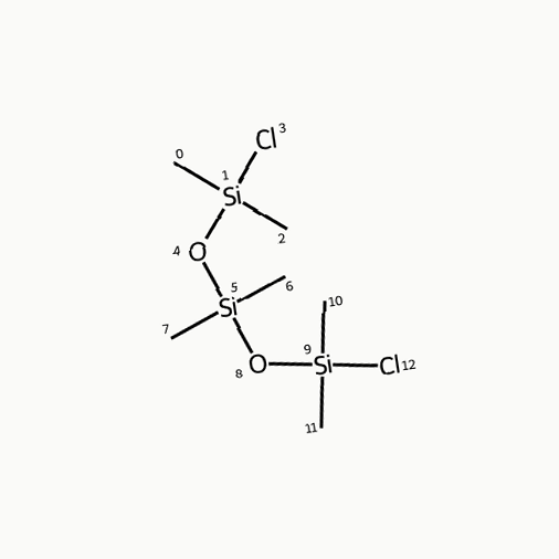 C[Si](C)(Cl)O[Si](C)(C)O[Si](C)(C)Cl